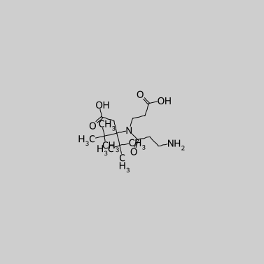 CC(C)(C)C(CC(=O)O)(N(CCC(=O)O)C(=O)CCN)C(C)(C)C